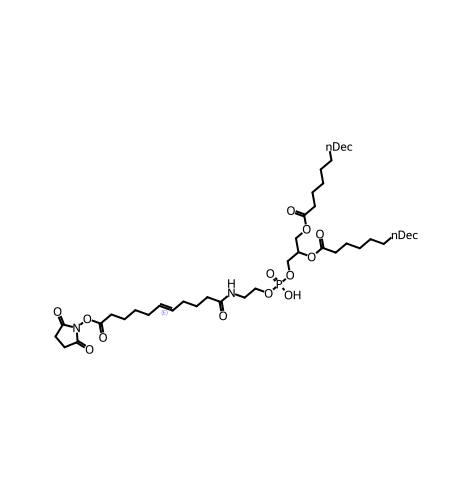 CCCCCCCCCCCCCCCC(=O)OCC(COP(=O)(O)OCCNC(=O)CCC/C=C/CCCCC(=O)ON1C(=O)CCC1=O)OC(=O)CCCCCCCCCCCCCCC